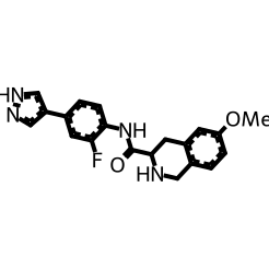 COc1ccc2c(c1)CC(C(=O)Nc1ccc(-c3cn[nH]c3)cc1F)NC2